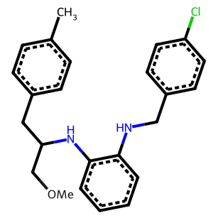 COCC(Cc1ccc(C)cc1)Nc1ccccc1NCc1ccc(Cl)cc1